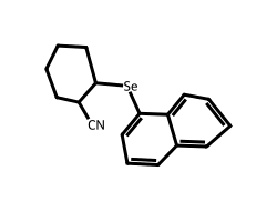 N#CC1CCCCC1[Se]c1cccc2ccccc12